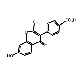 Cc1oc2cc(O)ccc2c(=O)c1-c1ccc(C(=O)O)cc1